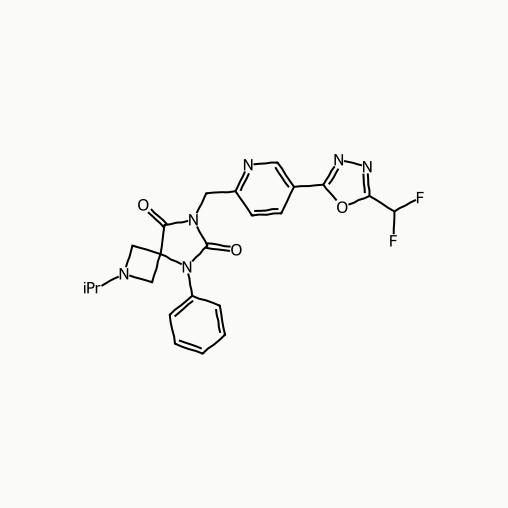 CC(C)N1CC2(C1)C(=O)N(Cc1ccc(-c3nnc(C(F)F)o3)cn1)C(=O)N2c1ccccc1